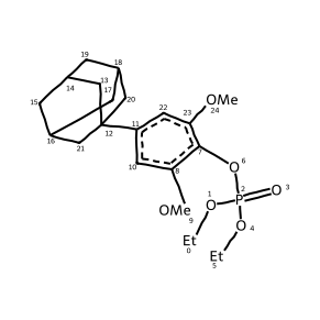 CCOP(=O)(OCC)Oc1c(OC)cc(C23CC4CC(CC(C4)C2)C3)cc1OC